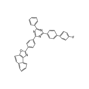 Fc1ccc(-c2ccc(-c3nc(-c4ccccc4)nc(-c4ccc(-c5nc6c(ccc7ccccc76)o5)cc4)n3)cc2)cc1